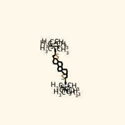 CC(C)[Si](C#Cc1cc2ccc3c4ccc5c(ccc6cc(C#C[Si](C(C)C)(C(C)C)C(C)C)sc65)c4ccc3c2s1)(C(C)C)C(C)C